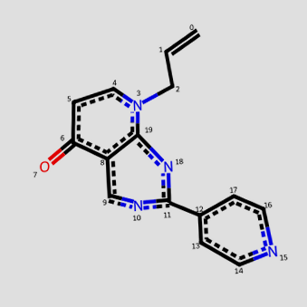 C=CCn1ccc(=O)c2cnc(-c3ccncc3)nc21